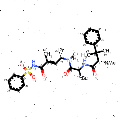 CN[C@H](C(=O)NC(C(=O)N(C)[C@H](/C=C(\C)C(=O)NS(=O)(=O)c1ccccc1)C(C)C)C(C)(C)C)C(C)(C)c1ccccc1